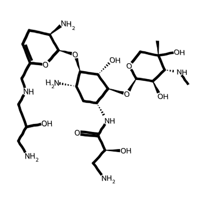 CN[C@@H]1[C@@H](O)[C@@H](O[C@@H]2[C@@H](O)[C@H](O[C@H]3OC(CNCC(O)CN)=CC[C@H]3N)[C@@H](N)C[C@H]2NC(=O)[C@@H](O)CN)OC[C@]1(C)O